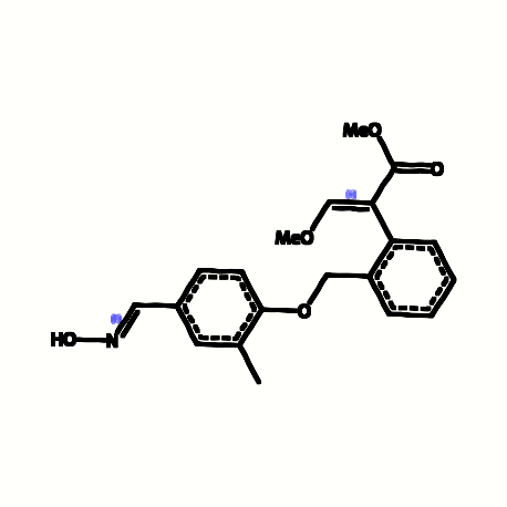 CO/C=C(/C(=O)OC)c1ccccc1COc1ccc(/C=N/O)cc1C